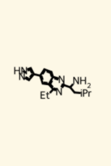 CCc1nc(C(N)CC(C)C)nc2ccc(-c3cn[nH]c3)cc12